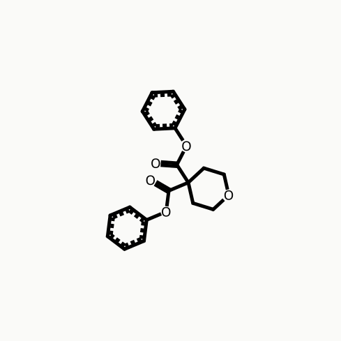 O=C(Oc1ccccc1)C1(C(=O)Oc2ccccc2)CCOCC1